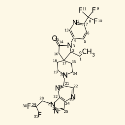 CCC1N(c2ccc(C(F)(F)F)nc2)C(=O)CC12CCN(c1cnc3cnn(CC(F)F)c3n1)CC2